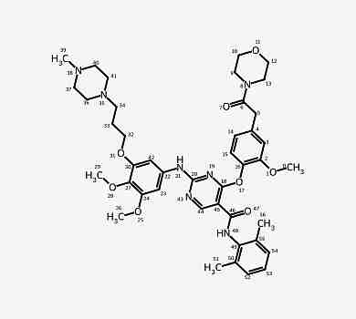 COc1cc(CC(=O)N2CCOCC2)ccc1Oc1nc(Nc2cc(OC)c(OC)c(OCCCN3CCN(C)CC3)c2)ncc1C(=O)Nc1c(C)cccc1C